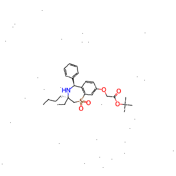 CCCC[C@@]1(CC)CS(=O)(=O)c2cc(OCC(=O)OC(C)(C)C)ccc2[C@H](c2ccccc2)N1